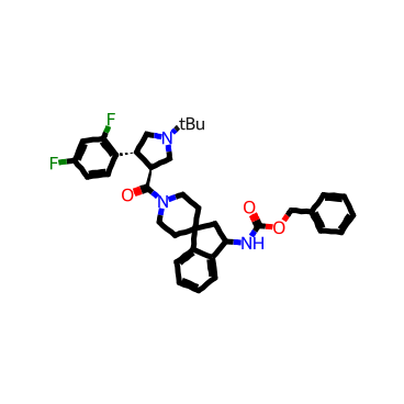 CC(C)(C)N1C[C@@H](C(=O)N2CCC3(CC2)CC(NC(=O)OCc2ccccc2)c2ccccc23)[C@H](c2ccc(F)cc2F)C1